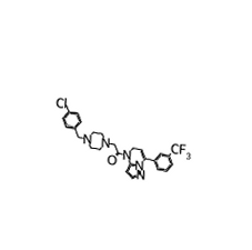 O=C(CN1CCN(Cc2ccc(Cl)cc2)CC1)N1CC=C(c2cccc(C(F)(F)F)c2)n2nccc21